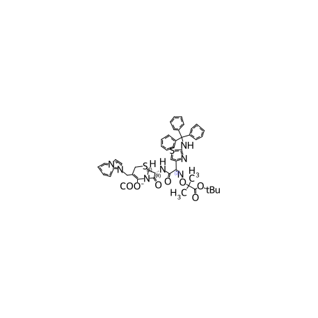 CC(C)(C)OC(=O)C(C)(C)O/N=C(\C(=O)N[C@@H]1C(=O)N2C(C(=O)[O-])=C(Cn3cc[n+]4ccccc34)CS[C@@H]12)c1csc(NC(c2ccccc2)(c2ccccc2)c2ccccc2)n1